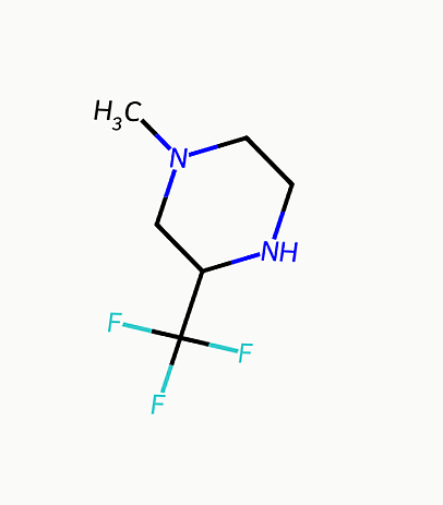 CN1CCNC(C(F)(F)F)C1